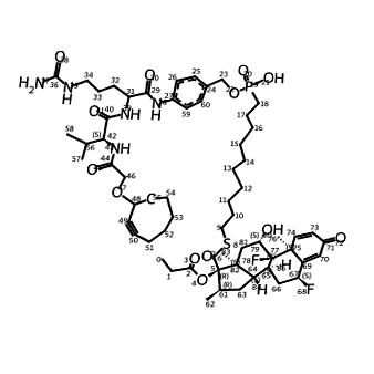 CCC(=O)O[C@]1(C(=O)SCCCCCCCCCCP(=O)(O)OCc2ccc(NC(=O)C(CCCNC(N)=O)NC(=O)[C@@H](NC(=O)COC3C#CCCCCC3)C(C)C)cc2)[C@H](C)C[C@H]2[C@@H]3C[C@H](F)C4=CC(=O)C=C[C@]4(C)[C@@]3(F)[C@@H](O)C[C@@]21C